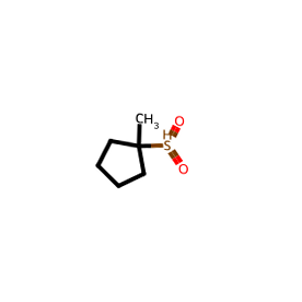 CC1([SH](=O)=O)CCCC1